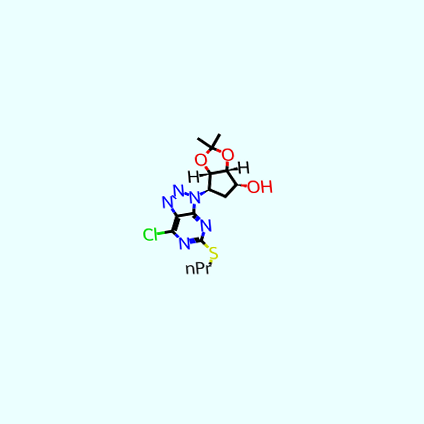 CCCSc1nc(Cl)c2nnn([C@@H]3C[C@H](O)[C@H]4OC(C)(C)O[C@H]43)c2n1